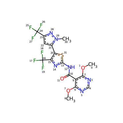 COc1ncnc(OC)c1C(=O)Nc1nc(C(F)(F)F)c(-c2cc(C(F)(F)F)nn2C)s1